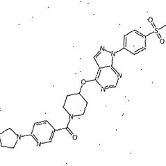 CS(=O)(=O)c1ccc(-n2ncc3c(OC4CCN(C(=O)c5ccc(N6CCCC6)nc5)CC4)ncnc32)cc1